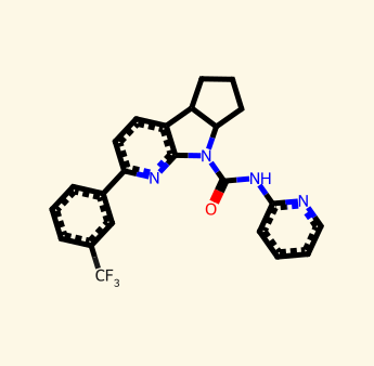 O=C(Nc1ccccn1)N1c2nc(-c3cccc(C(F)(F)F)c3)ccc2C2CCCC21